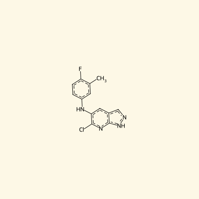 Cc1cc(Nc2cc3cn[nH]c3nc2Cl)ccc1F